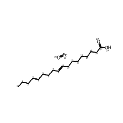 CCCCCCCCC=CCCCCCCCC(=O)O.[O]=[Fe]